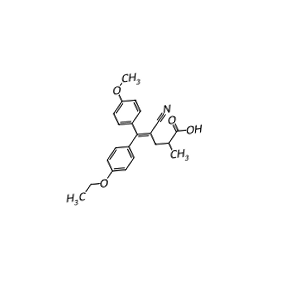 CCOc1ccc(/C(=C(/C#N)CC(C)C(=O)O)c2ccc(OC)cc2)cc1